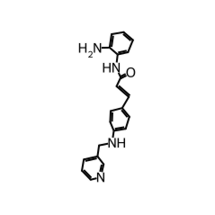 Nc1ccccc1NC(=O)C=Cc1ccc(NCc2cccnc2)cc1